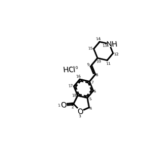 Cl.O=C1OCc2cc(/C=C/C3CCNCC3)ccc21